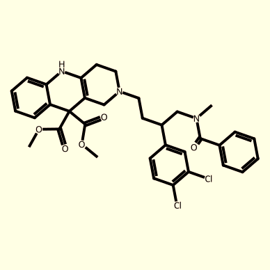 COC(=O)C1(C(=O)OC)C2=C(CCN(CCC(CN(C)C(=O)c3ccccc3)c3ccc(Cl)c(Cl)c3)C2)Nc2ccccc21